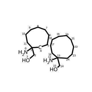 NC1(CO)CCCCCCCC1.NC1(CO)CCCCCCCCC1